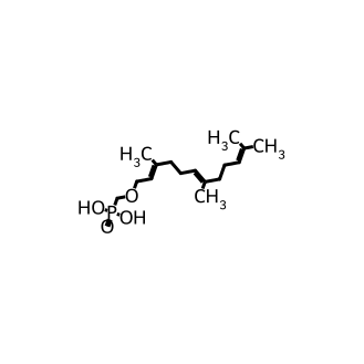 CC(C)=CCCC(C)=CCCC(C)=CCOCP(=O)(O)O